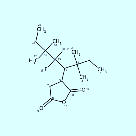 CCC(C)(C)C(C1CC(=O)OC1=O)C(F)(F)C(C)(C)CC